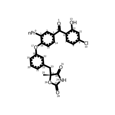 CCCc1cc(C(=O)c2ccc(Cl)cc2O)ccc1Oc1cccc(C[C@@]2(C)OC(=O)NC2=O)c1